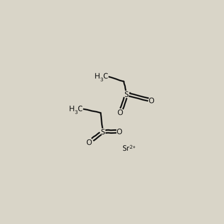 CC[S-](=O)=O.CC[S-](=O)=O.[Sr+2]